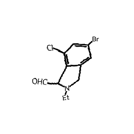 CCN1Cc2cc(Br)cc(Cl)c2C1C=O